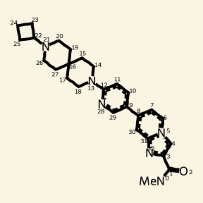 CNC(=O)c1cn2ccc(-c3ccc(N4CCC5(CC4)CCN(C4CCC4)CC5)nc3)cc2n1